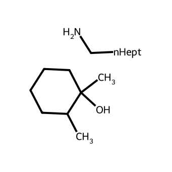 CC1CCCCC1(C)O.CCCCCCCCN